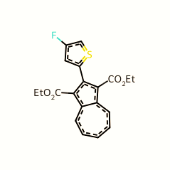 CCOC(=O)c1c2cccccc-2c(C(=O)OCC)c1-c1cc(F)cs1